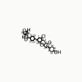 O=C1C(Cc2c(Cl)cc(-c3ccc(C(=O)N4C[C@@H]5C[C@H]4CO5)cc3)cc2Cl)CCN1C1CCC(O)CC1